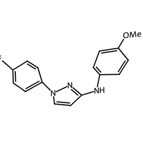 COc1ccc(Nc2ccn(-c3ccc(F)cc3)n2)cc1